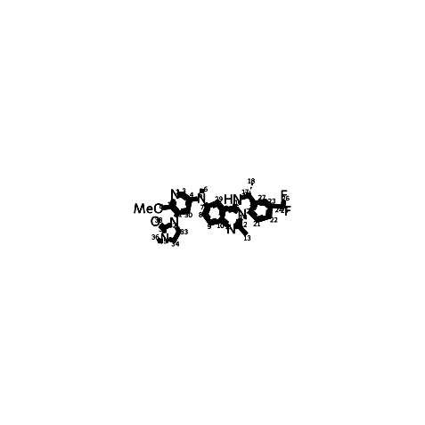 COc1ncc(N(C)c2ccc3nc(C)nc(N[C@H](C)c4cccc(C(F)F)c4)c3c2)cc1N1CCN(C)C1=O